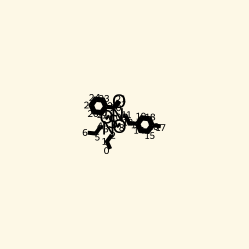 CCCN(CCC)S(=O)(=O)N(CCc1ccc(C)cc1)C(=O)c1ccccc1